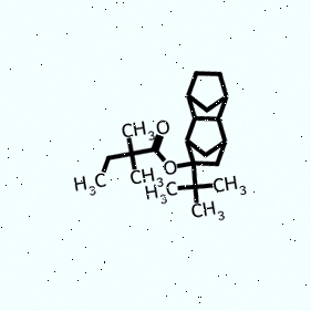 CCC(C)(C)C(=O)OC1(C(C)(C)C)CC2CC1C1C3CCC(C3)C21